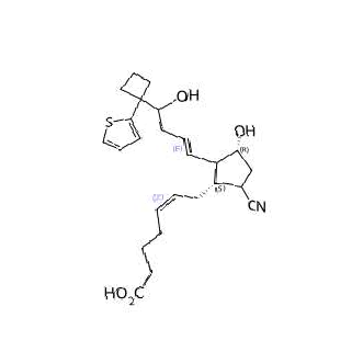 N#CC1C[C@@H](O)C(/C=C/CC(O)C2(c3cccs3)CCC2)[C@H]1C/C=C\CCCC(=O)O